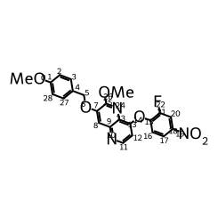 COc1ccc(COc2cc3nccc(Oc4ccc([N+](=O)[O-])cc4F)c3nc2OC)cc1